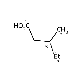 CC[C@@H](C)CC(=O)O